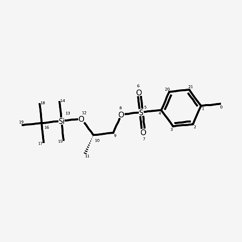 Cc1ccc(S(=O)(=O)OC[C@H](C)O[Si](C)(C)C(C)(C)C)cc1